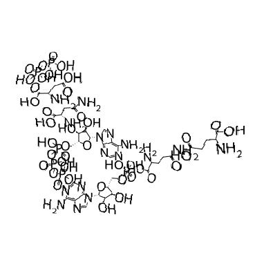 NC(=O)CC[C@H](N)C(=O)O.NC(=O)C[C@H](N)C(=O)O.N[C@@H](CC(=O)O)C(=O)O.N[C@@H](CCC(=O)O)C(=O)O.Nc1ncnc2c1ncn2[C@@H]1O[C@H](COP(=O)(O)O)[C@@H](O)[C@H]1O.Nc1ncnc2c1ncn2[C@@H]1O[C@H](COP(=O)(O)OP(=O)(O)OP(=O)(O)O)[C@@H](O)[C@H]1O.O=P(O)(O)OP(=O)(O)O